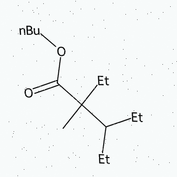 CCCCOC(=O)C(C)(CC)C(CC)CC